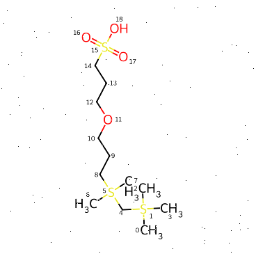 CS(C)(C)CS(C)(C)CCCOCCCS(=O)(=O)O